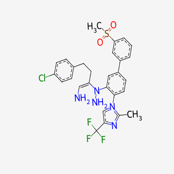 Cc1nc(C(F)(F)F)cn1-c1ccc(-c2cccc(S(C)(=O)=O)c2)cc1N(N)/C(=C\N)CCc1ccc(Cl)cc1